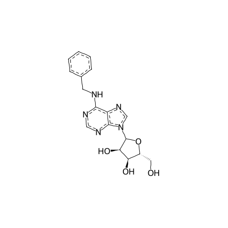 OC[C@H]1OC(n2cnc3c(NCc4ccccc4)ncnc32)[C@H](O)[C@@H]1O